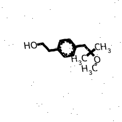 COC(C)(C)Cc1ccc(CCO)cc1